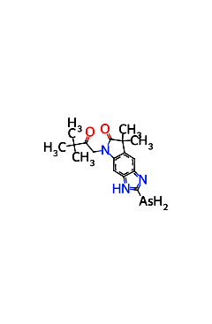 CC(C)(C)C(=O)CN1C(=O)C(C)(C)c2cc3nc([AsH2])[nH]c3cc21